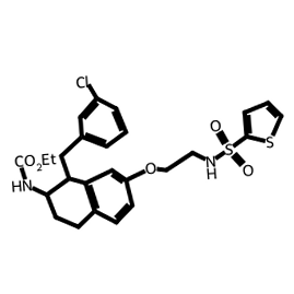 CCOC(=O)NC1CCc2ccc(OCCNS(=O)(=O)c3cccs3)cc2C1Cc1cccc(Cl)c1